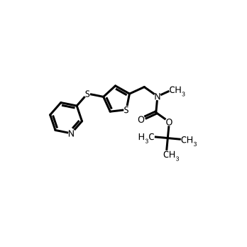 CN(Cc1cc(Sc2cccnc2)cs1)C(=O)OC(C)(C)C